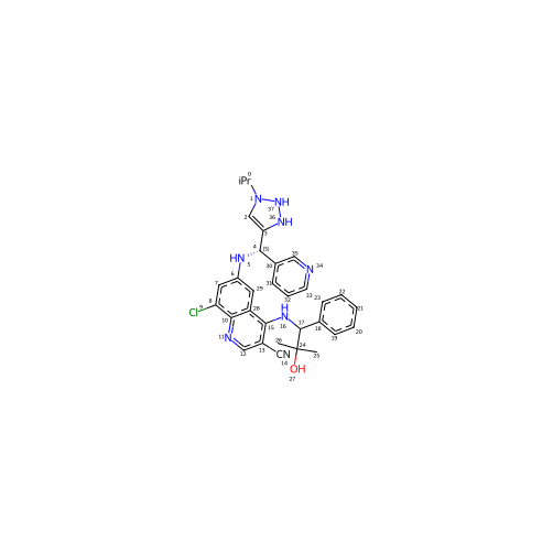 CC(C)N1C=C([C@@H](Nc2cc(Cl)c3ncc(C#N)c(NC(c4ccccc4)C(C)(C)O)c3c2)c2cccnc2)NN1